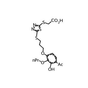 CCCOc1c(OCCCSc2nnc(SCC(=O)O)s2)ccc(C(C)=O)c1O